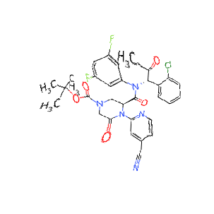 CC(=O)[C@H](c1ccccc1Cl)N(C(=O)[C@@H]1CN(C(=O)OC(C)(C)C)CC(=O)N1c1cc(C#N)ccn1)c1cc(F)cc(F)c1